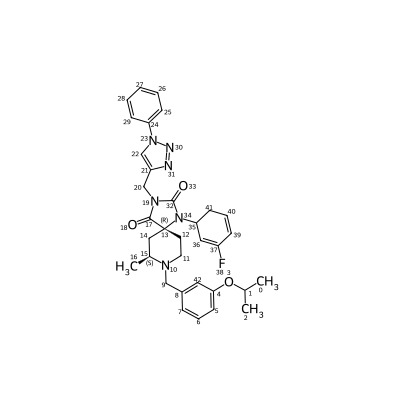 CC(C)Oc1cccc(CN2CC[C@@]3(C[C@@H]2C)C(=O)N(Cc2cn(-c4ccccc4)nn2)C(=O)N3C2C=C(F)C=CC2)c1